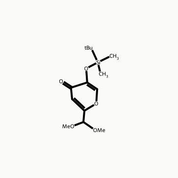 COC(OC)c1cc(=O)c(O[Si](C)(C)C(C)(C)C)co1